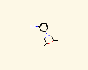 CC1CN(C2C=CC=C(N)C2)CC(C)O1